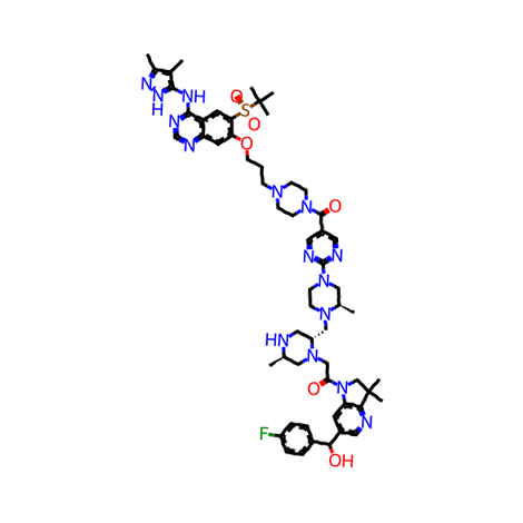 Cc1n[nH]c(Nc2ncnc3cc(OCCCN4CCN(C(=O)c5cnc(N6CCN(C[C@H]7CN[C@H](C)CN7CC(=O)N7CC(C)(C)c8ncc(C(O)c9ccc(F)cc9)cc87)[C@H](C)C6)nc5)CC4)c(S(=O)(=O)C(C)(C)C)cc23)c1C